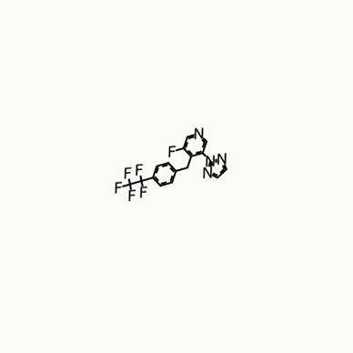 Fc1cncc(-n2nccn2)c1Cc1ccc(C(F)(F)C(F)(F)F)cc1